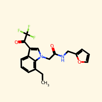 CCc1cccc2c(C(=O)C(F)(F)F)cn(CC(=O)NCc3ccco3)c12